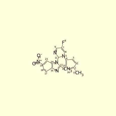 Cc1ccc(N2C=C(F)C=NC2n2c(C)nc3ccc([N+](=O)[O-])cc32)cc1